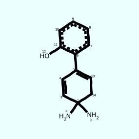 NC1(N)C=CC(c2ccccc2O)=CC1